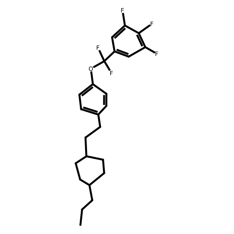 CCCC1CCC(CCc2ccc(OC(F)(F)c3cc(F)c(F)c(F)c3)cc2)CC1